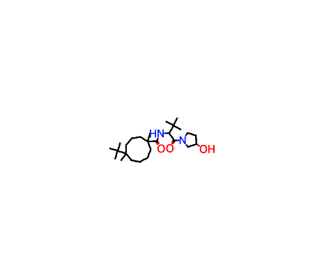 CC1(C(=O)NC(C(=O)N2CC[C@@H](O)C2)C(C)(C)C)CCCCC(C)(C(C)(C)C)CCC1